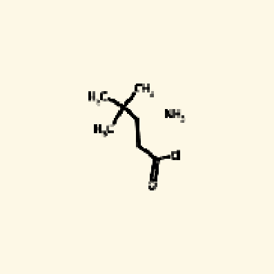 CC(C)(C)CCC(=O)Cl.N